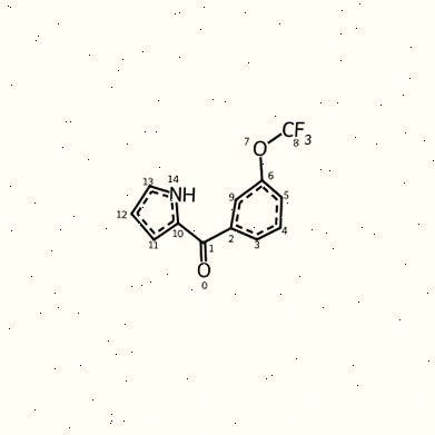 O=C(c1cccc(OC(F)(F)F)c1)c1ccc[nH]1